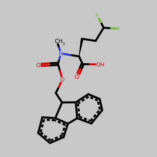 CN(C(=O)OCC1c2ccccc2-c2ccccc21)[C@@H](CCC(F)F)C(=O)O